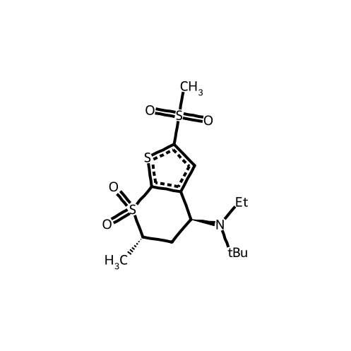 CCN([C@H]1C[C@H](C)S(=O)(=O)c2sc(S(C)(=O)=O)cc21)C(C)(C)C